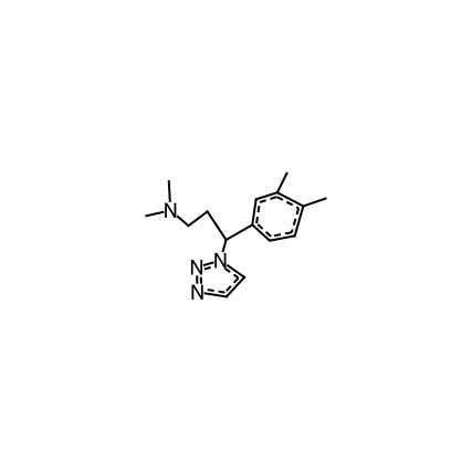 Cc1ccc(C(CCN(C)C)n2ccnn2)cc1C